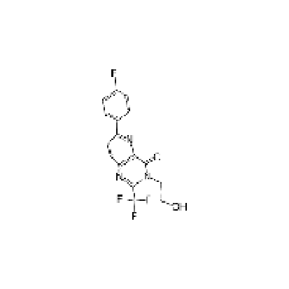 O=c1c2nc(-c3ccc(F)cc3)ccc2nc(C(F)(F)F)n1CCO